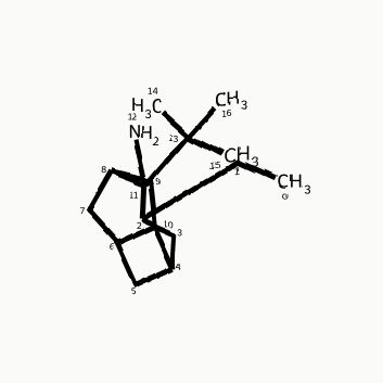 CCC1CC2CC3CC(CC23)C1(N)C(C)(C)C